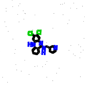 Clc1cc2c(cc1Cl)Nc1ccccc1C(NCc1cccnc1)=N2